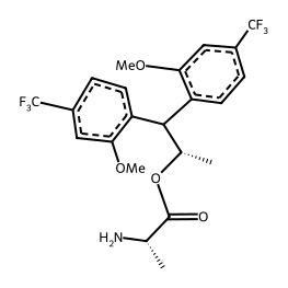 COc1cc(C(F)(F)F)ccc1C(c1ccc(C(F)(F)F)cc1OC)[C@H](C)OC(=O)[C@H](C)N